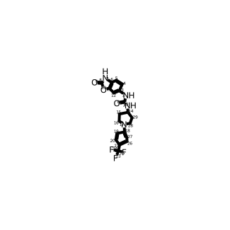 O=C(Nc1ccc2[nH]c(=O)oc2c1)NC1CCN(c2ccc(C(F)(F)F)cc2)CC1